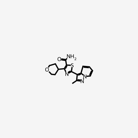 Cc1nn2ccccc2c1-c1nc(C2CCOCC2)c(C(N)=O)s1